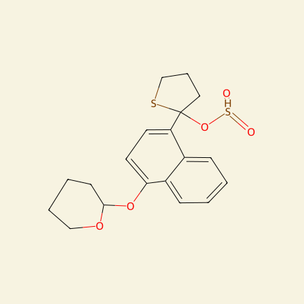 O=[SH](=O)OC1(c2ccc(OC3CCCCO3)c3ccccc23)CCCS1